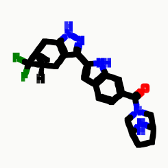 C[C@@]12Cc3[nH]nc(-c4cc5ccc(C(=O)N6CC7CCC(C6)N7)cc5[nH]4)c3C[C@@H]1C2(F)F